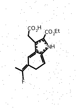 CCOC(=O)c1[nH]c2c(c1CC(=O)O)=CC(=C(C)F)CC=2